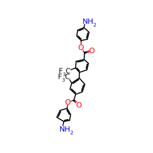 Nc1ccc(OC(=O)c2ccc(-c3ccc(C(=O)Oc4ccc(N)cc4)cc3C(F)(F)F)c(C(F)(F)F)c2)cc1